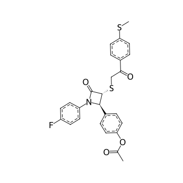 CSc1ccc(C(=O)CS[C@H]2C(=O)N(c3ccc(F)cc3)[C@@H]2c2ccc(OC(C)=O)cc2)cc1